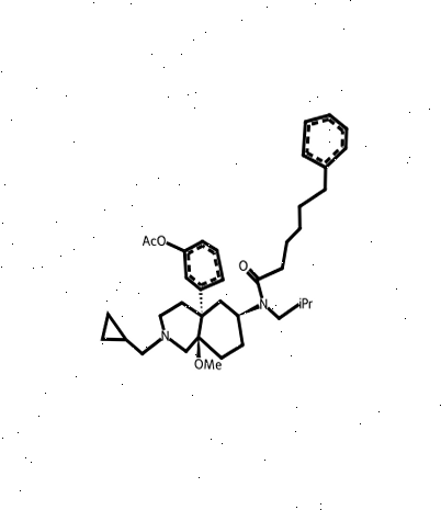 CO[C@]12CC[C@H](N(CC(C)C)C(=O)CCCCCc3ccccc3)C[C@]1(c1cccc(OC(C)=O)c1)CCN(CC1CC1)C2